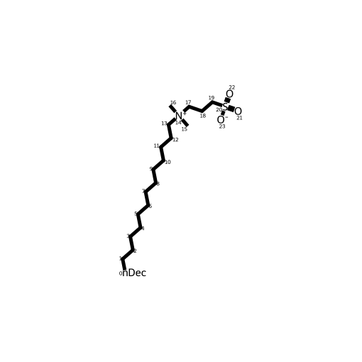 CCCCCCCCCCCCCCCCCCCCCCC[N+](C)(C)CCCS(=O)(=O)[O-]